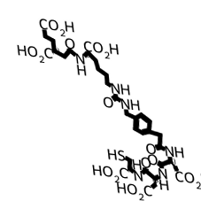 O=C(O)CC[C@H](CC(=O)N[C@@H](CCCCNC(=O)NCc1ccc(CC(=O)N[C@@H](CC(=O)O)C(=O)N[C@@H](CC(=O)O)C(=O)N[C@@H](CS)C(=O)O)cc1)C(=O)O)C(=O)O